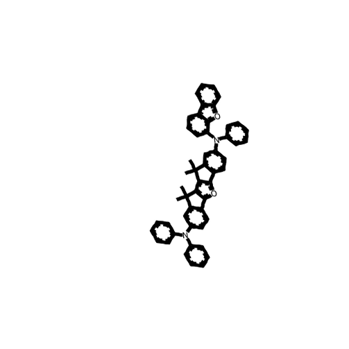 CC1(C)c2cc(N(c3ccccc3)c3ccccc3)ccc2-c2oc3c(c21)C(C)(C)c1cc(N(c2ccccc2)c2cccc4c2oc2ccccc24)ccc1-3